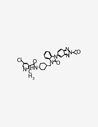 Cc1ncc(Cl)cc1C(=O)N[C@H]1CC[C@H](Cn2c(=O)n(-c3ccc4nn(C5COC5)nc4c3)c3ccccc32)CC1